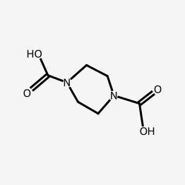 O=C(O)N1CCN(C(=O)O)CC1